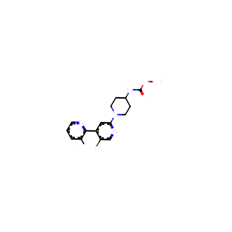 COC(=O)NC1CCN(c2cc(-c3ncccc3C)c(Cl)cn2)CC1